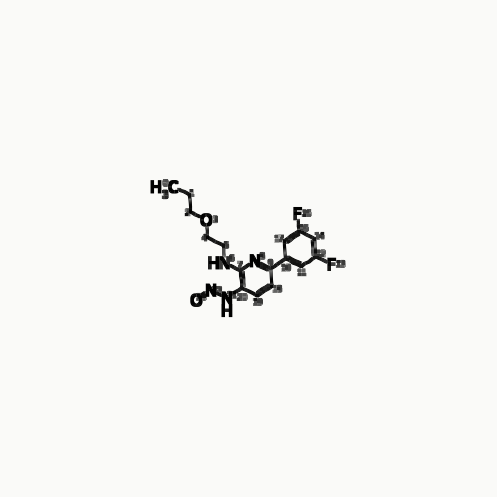 CCCOCCNc1nc(-c2cc(F)cc(F)c2)ccc1NN=O